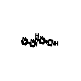 c1cncc(-c2ccnc(Nc3ccc(N4CCNCC4)cn3)n2)c1